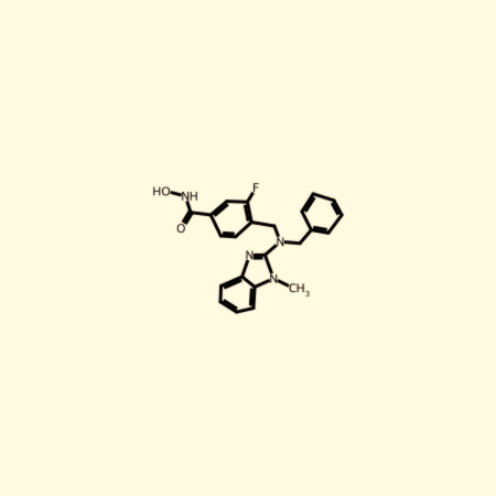 Cn1c(N(Cc2ccccc2)Cc2ccc(C(=O)NO)cc2F)nc2ccccc21